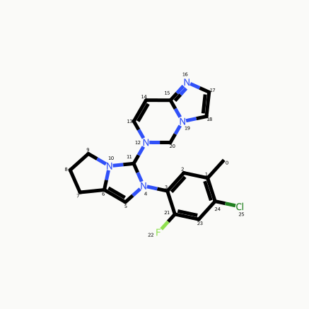 Cc1cc(N2C=C3CCCN3C2N2C=Cc3nccn3C2)c(F)cc1Cl